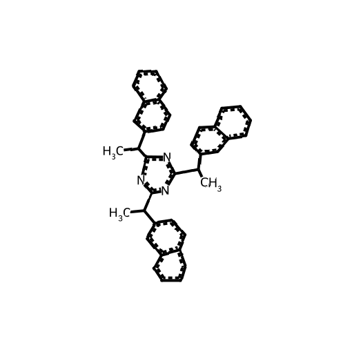 CC(c1ccc2ccccc2c1)c1nc(C(C)c2ccc3ccccc3c2)nc(C(C)c2ccc3ccccc3c2)n1